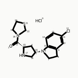 Cl.O=C([C@@H]1C[C@H](N2CCc3cc(Cl)ccc32)CN1)N1CCSC1